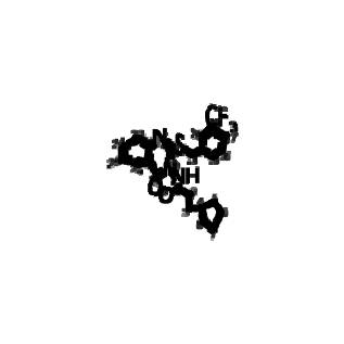 O=C(CCC1CCCC1)Nn1c(SCc2cccc(C(F)(F)F)c2)nc2ccccc2c1=O